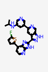 CC(C)Nc1cncc(-c2cc3c(-c4nc5c(-c6ccc(F)s6)ccnc5[nH]4)n[nH]c3cn2)c1